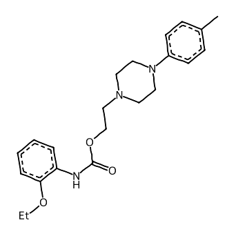 CCOc1ccccc1NC(=O)OCCN1CCN(c2ccc(C)cc2)CC1